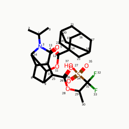 CC(C)N1C(=O)C2C3CC(C(OC(=O)C45CC6CC(CC(C6)C4)C5)C31)C2C(=O)OC(C)C(F)(F)S(=O)(=O)O